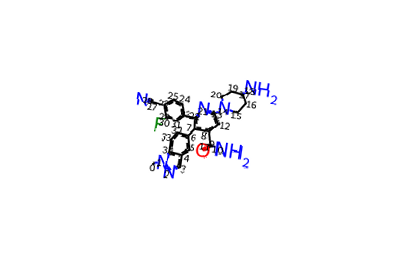 Cn1ncc2cc(-c3c(C(N)=O)cc(N4CCC(N)CC4)nc3-c3ccc(C#N)c(F)c3)ccc21